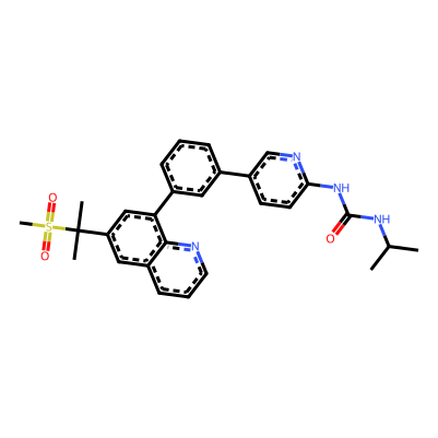 CC(C)NC(=O)Nc1ccc(-c2cccc(-c3cc(C(C)(C)S(C)(=O)=O)cc4cccnc34)c2)cn1